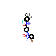 Cc1ccc(NC(=O)C2CCC(n3c(=O)[nH]c4c(Br)cccc43)CC2)c(F)c1